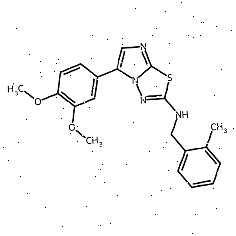 COc1ccc(-c2cnc3sc(NCc4ccccc4C)nn23)cc1OC